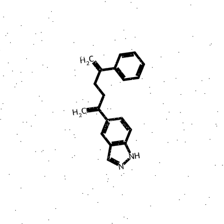 C=C(CCC(=C)c1ccc2[nH]ncc2c1)c1ccccc1